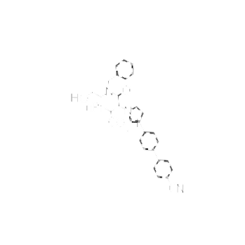 CCCC(C(=O)O)[C@@H](C(=O)N(CCO)Cc1ccccc1)n1ccc(-c2ccc(-c3ccc(C#N)cc3)cc2)c1